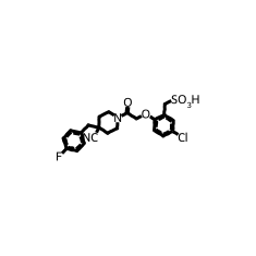 N#CC1(Cc2ccc(F)cc2)CCN(C(=O)COc2ccc(Cl)cc2CS(=O)(=O)O)CC1